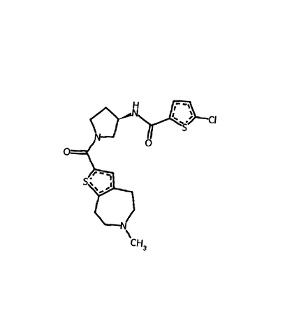 CN1CCc2cc(C(=O)N3CC[C@@H](NC(=O)c4ccc(Cl)s4)C3)sc2CC1